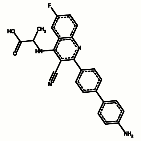 CC(Nc1c(C#N)c(-c2ccc(-c3ccc(N)cc3)cc2)nc2ccc(F)cc12)C(=O)O